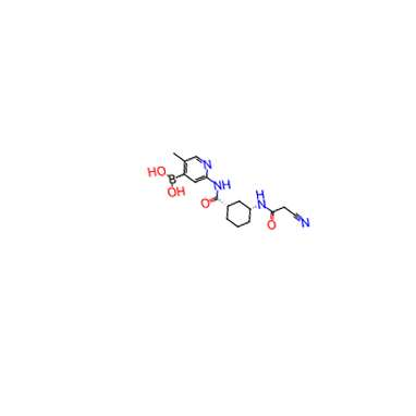 Cc1cnc(NC(=O)[C@H]2CCC[C@@H](NC(=O)CC#N)C2)cc1B(O)O